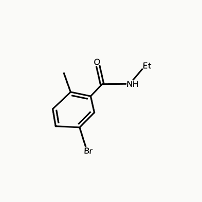 CCNC(=O)c1cc(Br)ccc1C